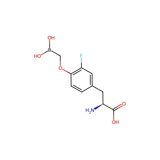 N[C@@H](Cc1ccc(OCB(O)O)c(F)c1)C(=O)O